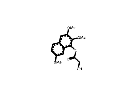 CNc1ccc2cc(OC)c(OC)c(OC(=O)CO)c2c1